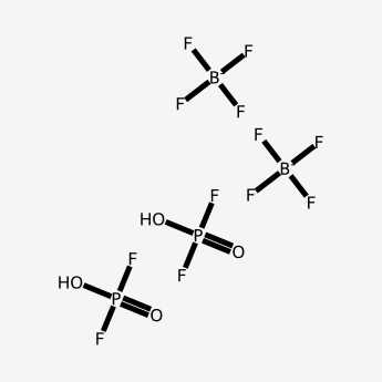 F[B-](F)(F)F.F[B-](F)(F)F.O=P(O)(F)F.O=P(O)(F)F